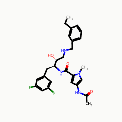 CCc1cccc(CNC[C@@H](O)[C@H](Cc2cc(F)cc(F)c2)NC(=O)c2cc(NC(C)=O)cn2C)c1